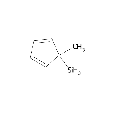 CC1([SiH3])C=CC=C1